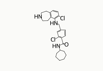 O=C(NC1CCCCCC1)c1ccc(CNc2c(Cl)ccc3c2CCNCC3)cc1Cl